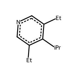 CCc1cncc(CC)c1C(C)C